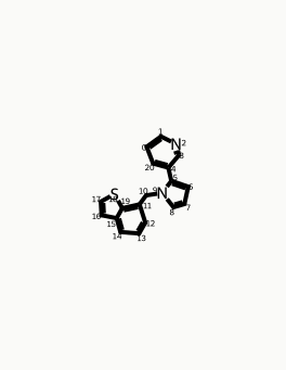 c1cncc(-c2cccn2Cc2cccc3ccsc23)c1